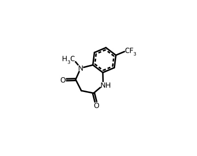 CN1C(=O)CC(=O)Nc2cc(C(F)(F)F)ccc21